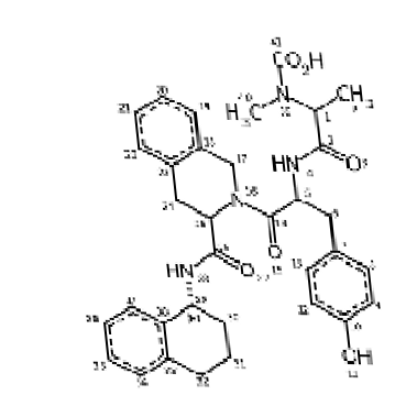 CC(C(=O)NC(Cc1ccc(O)cc1)C(=O)N1Cc2ccccc2CC1C(=O)N[C@@H]1CCCc2ccccc21)N(C)C(=O)O